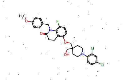 COc1ccc(CN2C(=O)CCc3c(OCC4(CO)CCN(c5ccc(Cl)cc5Cl)CC4)ccc(F)c32)cc1